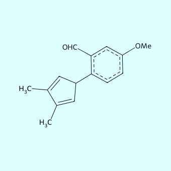 COc1ccc(C2C=C(C)C(C)=C2)c(C=O)c1